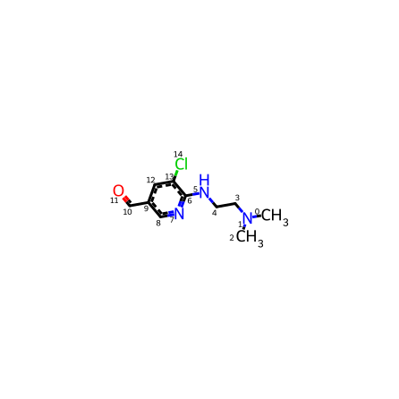 CN(C)CCNc1ncc(C=O)cc1Cl